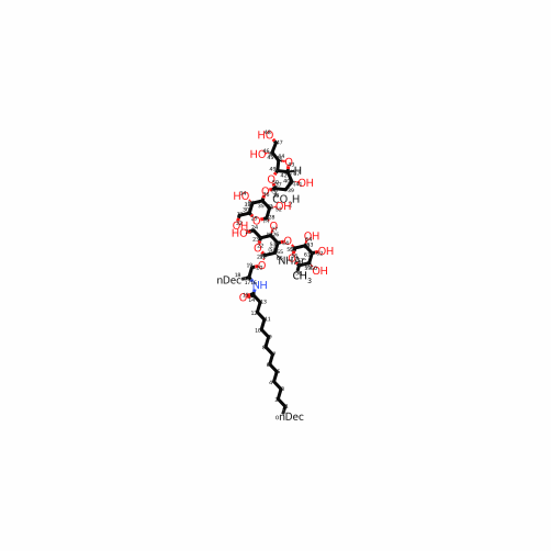 CCCCCCCCCCCCCCCCCCCCCCCC(=O)NC(CCCCCCCCCC)CO[C@@H]1OC(CO)[C@@H](O[C@@H]2OC(CO)[C@H](O)C(O[C@]3(C(=O)O)C[C@@H](O)[C@H]4O[C@H]([C@H](O)CO)C4O3)[C@@H]2O)C(O[C@@H]2OC(C)[C@@H](O)C(O)[C@@H]2O)[C@@H]1NC(C)=O